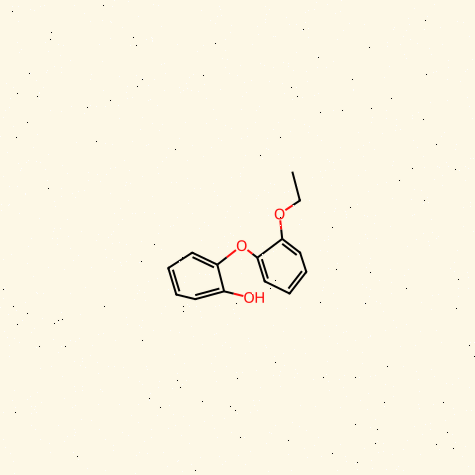 CCOc1ccccc1Oc1ccccc1O